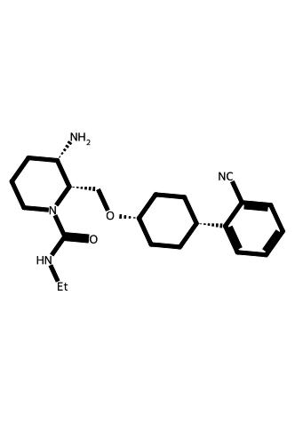 CCNC(=O)N1CCC[C@H](N)[C@@H]1CO[C@H]1CC[C@@H](c2ccccc2C#N)CC1